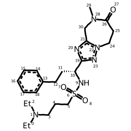 CCN(CC)CCCS(=O)(=O)N[C@H](CCc1ccccc1)c1nc2n(n1)CCC(=O)N(C)C2